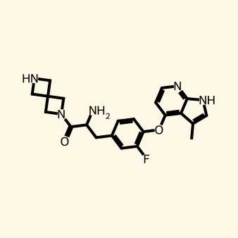 Cc1c[nH]c2nccc(Oc3ccc(CC(N)C(=O)N4CC5(CNC5)C4)cc3F)c12